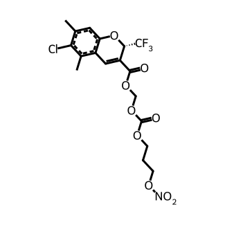 Cc1cc2c(c(C)c1Cl)C=C(C(=O)OCOC(=O)OCCCO[N+](=O)[O-])[C@@H](C(F)(F)F)O2